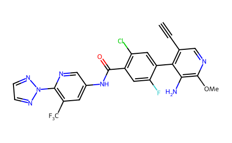 C#Cc1cnc(OC)c(N)c1-c1cc(Cl)c(C(=O)Nc2cnc(-n3nccn3)c(C(F)(F)F)c2)cc1F